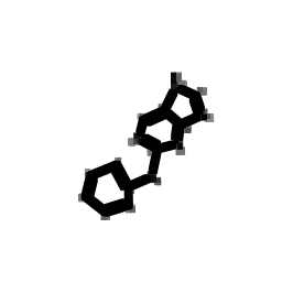 c1ccc(Sc2ncc3[nH]cnc3n2)cc1